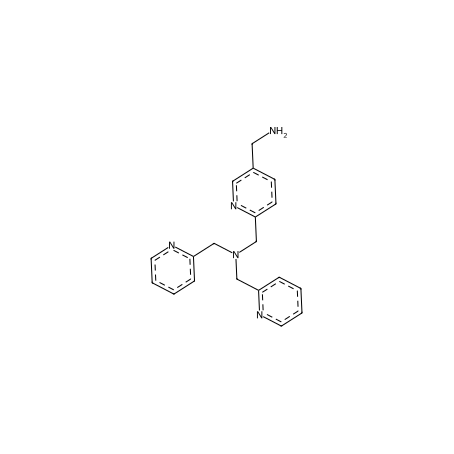 NCc1ccc(CN(Cc2ccccn2)Cc2ccccn2)nc1